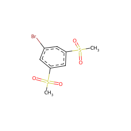 CS(=O)(=O)c1cc(Br)cc(S(C)(=O)=O)c1